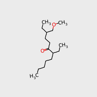 CCCCCC(CC)C(=O)CCC(CC)COC